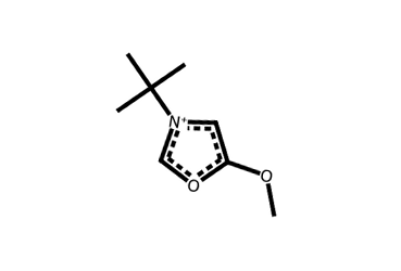 COc1c[n+](C(C)(C)C)co1